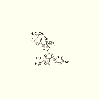 CC(C)(C)OC(=O)N1CC(CCC(N[S+]([O-])C(C)(C)C)c2ccc(Br)cn2)CC1(C)C